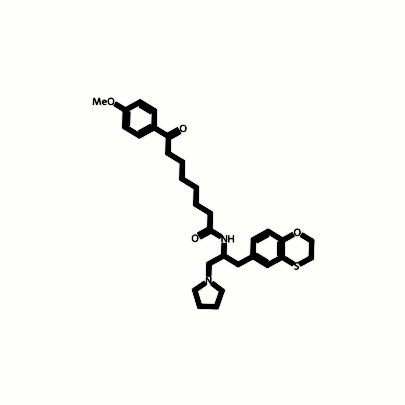 COc1ccc(C(=O)CCCCCCC(=O)NC(Cc2ccc3c(c2)SCCO3)CN2CCCC2)cc1